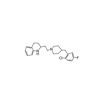 Fc1ccc(Cl)c(CC2CCN(CCC3CCc4ccccc4N3)CC2)c1